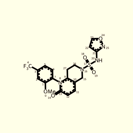 COc1cc(C(F)(F)F)ccc1-n1c2c(ccc1=O)CN(S(=O)(=O)Nc1ccon1)CC2